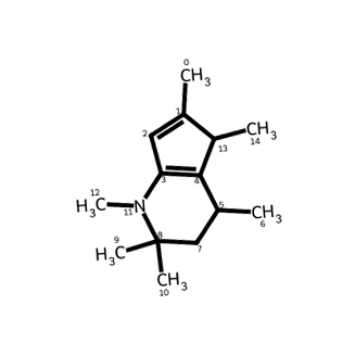 CC1=CC2=C(C(C)CC(C)(C)N2C)C1C